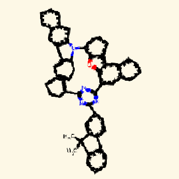 CC1(C)c2ccccc2-c2ccc(-c3nc(C4=CC=CCC4)nc(-c4cc5ccccc5c5c4oc4c(N6c7cc8ccccc8cc7C7=CC=CCC76)cccc45)n3)cc21